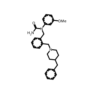 COc1cccc(N(Cc2ccccc2CN2CCC(Cc3ccccc3)CC2)C(N)=O)c1